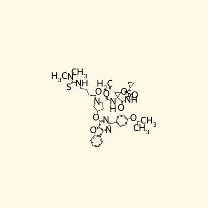 C=C[C@@H]1C[C@@]1(NC(=O)[C@@H]1C[C@@H](Oc2nc(-c3ccc(OC(C)C)cc3)nc3c2oc2ccccc23)CN1C(=O)CCCNC(=S)N(C)C)C(=O)NS(=O)(=O)C1CC1